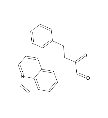 C=C.O=CC(=O)CCc1ccccc1.c1ccc2ncccc2c1